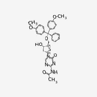 COc1ccc(C(OC[C@H]2S[C@@H](n3cnc(NC(C)=O)nc3=O)CC2O)(c2ccccc2)c2ccc(OC)cc2)cc1